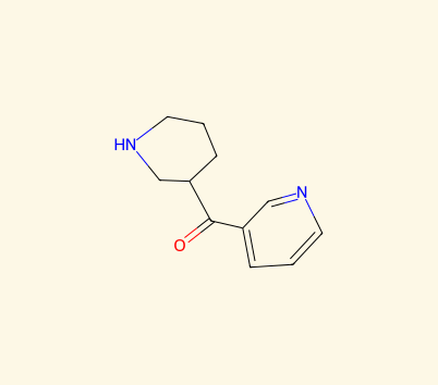 O=C(c1cccnc1)C1CCCNC1